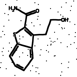 NC(=O)c1sc2ccccc2c1CCO